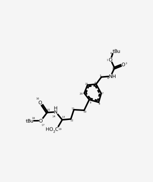 CC(C)(C)OC(=O)NCc1ccc(CCCC(NC(=O)OC(C)(C)C)C(=O)O)cc1